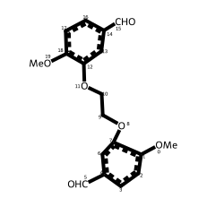 COc1ccc(C=O)cc1OCCOc1cc(C=O)ccc1OC